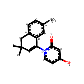 CC1(C)C=C(n2ccc(O)cc2=O)c2cc([N+](=O)[O-])ccc2C1